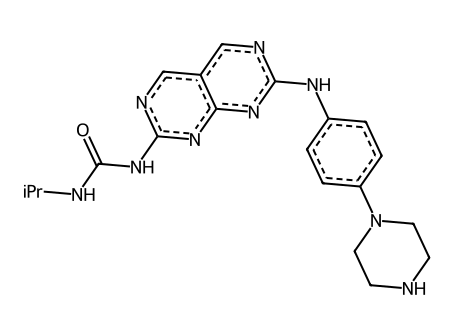 CC(C)NC(=O)Nc1ncc2cnc(Nc3ccc(N4CCNCC4)cc3)nc2n1